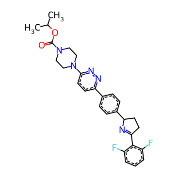 CC(C)OC(=O)N1CCN(c2ccc(-c3ccc(C4CCC(c5c(F)cccc5F)=N4)cc3)nn2)CC1